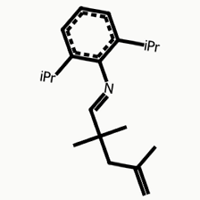 C=C(C)CC(C)(C)C=Nc1c(C(C)C)cccc1C(C)C